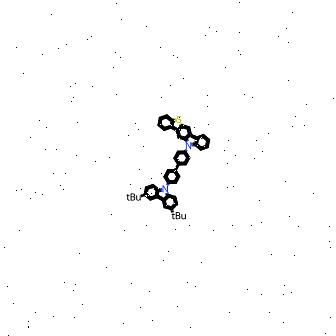 CC(C)(C)c1ccc2c(c1)c1cc(C(C)(C)C)ccc1n2-c1ccc(-c2ccc(-n3c4ccccc4c4cc5sc6ccccc6c5cc43)cc2)cc1